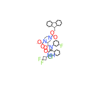 COC(=O)N1CCN(C(=O)OCC2c3ccccc3-c3ccccc32)CC1C(=O)N(c1cccc(F)c1)[C@@H](C(=O)NC1CC(F)(F)C1)c1ccccc1Cl